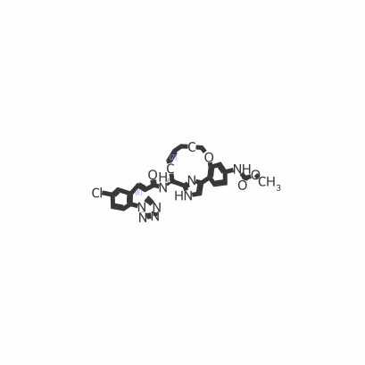 COC(=O)Nc1ccc2c(c1)OCCC/C=C\C[C@H](NC(=O)/C=C/c1cc(Cl)ccc1-n1cnnn1)c1nc-2c[nH]1